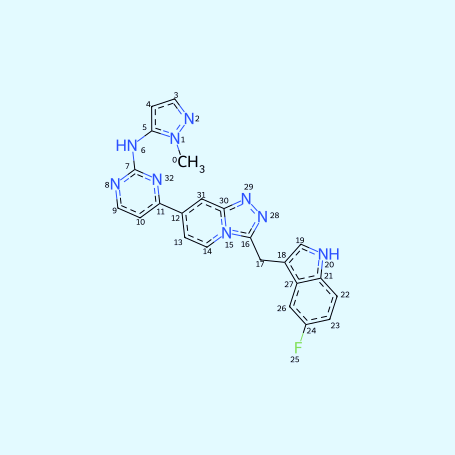 Cn1nccc1Nc1nccc(-c2ccn3c(Cc4c[nH]c5ccc(F)cc45)nnc3c2)n1